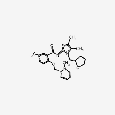 Cc1s/c(=N\C(=O)c2cc(C(F)(F)F)ccc2OC[C@@H]2C=CC=CN2C)n(C[C@H]2CCCO2)c1C